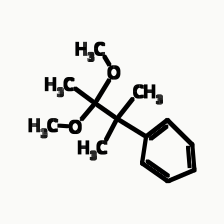 COC(C)(OC)C(C)(C)c1ccccc1